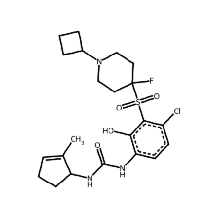 CC1=CCCC1NC(=O)Nc1ccc(Cl)c(S(=O)(=O)C2(F)CCN(C3CCC3)CC2)c1O